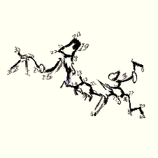 CCOC(=O)c1nc(N(C)c2cc(C)c(/N=c3\sc4ccccc4n3COCC[Si](C)(C)C)nn2)sc1CCCI